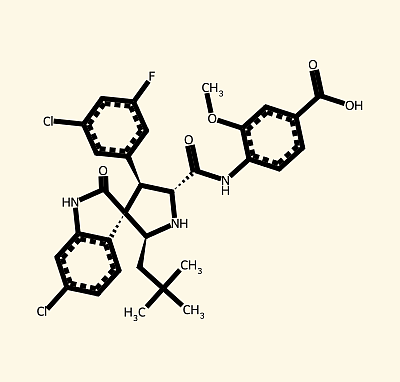 COc1cc(C(=O)O)ccc1NC(=O)[C@@H]1N[C@@H](CC(C)(C)C)[C@@]2(C(=O)Nc3cc(Cl)ccc32)[C@H]1c1cc(F)cc(Cl)c1